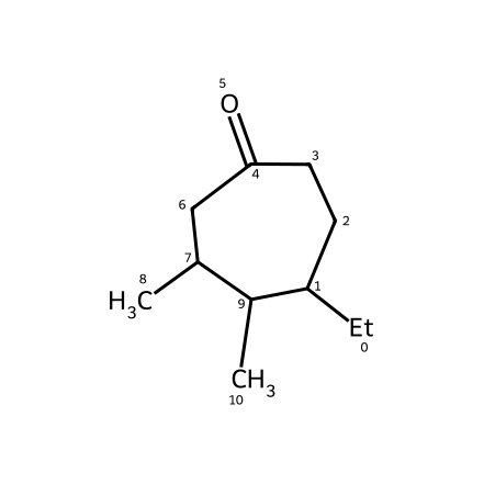 CCC1CCC(=O)CC(C)C1C